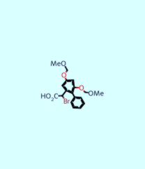 COCOc1cc(OCOC)c(-c2ccccc2)c(C(Br)C(=O)O)c1